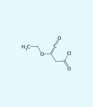 CCOC(=C=O)CC(=O)Cl